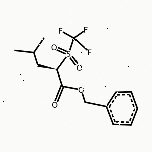 CC(C)C[C@H](C(=O)OCc1ccccc1)S(=O)(=O)C(F)(F)F